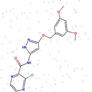 COc1cc(COc2cc(NC(=O)c3nccnc3Cl)[nH]n2)cc(OC)c1